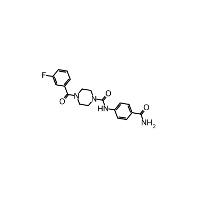 NC(=O)c1ccc(NC(=O)N2CCN(C(=O)c3cccc(F)c3)CC2)cc1